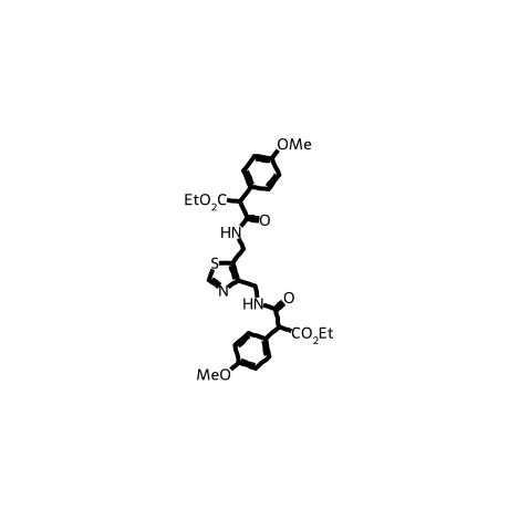 CCOC(=O)C(C(=O)NCc1ncsc1CNC(=O)C(C(=O)OCC)c1ccc(OC)cc1)c1ccc(OC)cc1